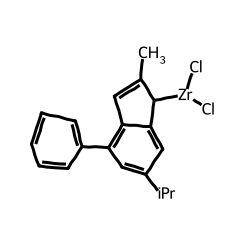 CC1=Cc2c(-c3ccccc3)cc(C(C)C)cc2[CH]1[Zr]([Cl])[Cl]